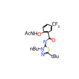 CCCCn1nc(C(C)(C)C)sc1=NC(=O)c1cc(C(F)(F)F)ccc1ONC(C)=O